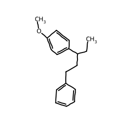 CCC(CCc1ccccc1)c1ccc(OC)cc1